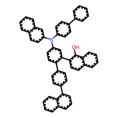 Oc1c(-c2cc(N(c3ccc(-c4ccccc4)cc3)c3ccc4ccccc4c3)ccc2-c2ccc(-c3cccc4ccccc34)cc2)ccc2ccccc12